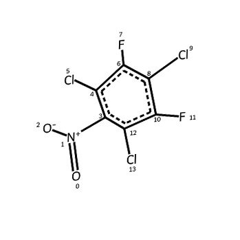 O=[N+]([O-])c1c(Cl)c(F)c(Cl)c(F)c1Cl